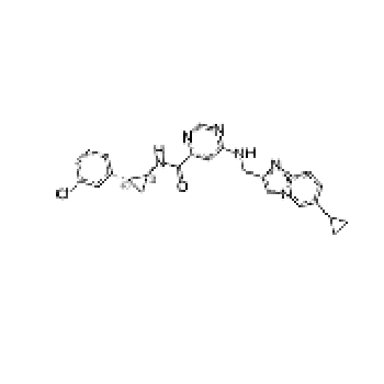 O=C(N[C@H]1C[C@@H]1c1cccc(Cl)c1)c1cc(NCc2cn3cc(C4CC4)ccc3n2)ncn1